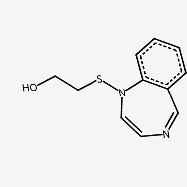 OCCSN1C=CN=Cc2ccccc21